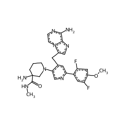 CNC(=O)C1(N)CCCN(c2cnc(-c3cc(F)c(OC)cc3F)cc2Cc2cnc3c(N)nccn23)C1